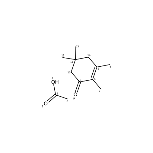 CC(=O)O.CC1=C(C)C(=O)CC(C)(C)C1